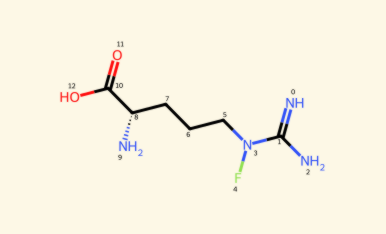 N=C(N)N(F)CCC[C@H](N)C(=O)O